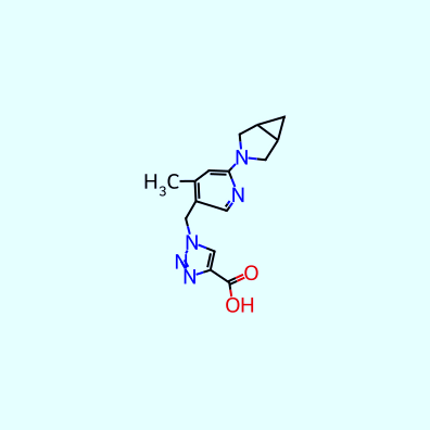 Cc1cc(N2CC3CC3C2)ncc1Cn1cc(C(=O)O)nn1